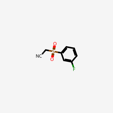 N#CCS(=O)(=O)c1cccc(F)c1